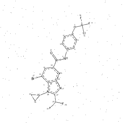 O=C(Nc1ccc(OC(F)(F)Cl)cc1)c1cc(Br)c2c(c1)nc(C(F)F)n2C1CC1